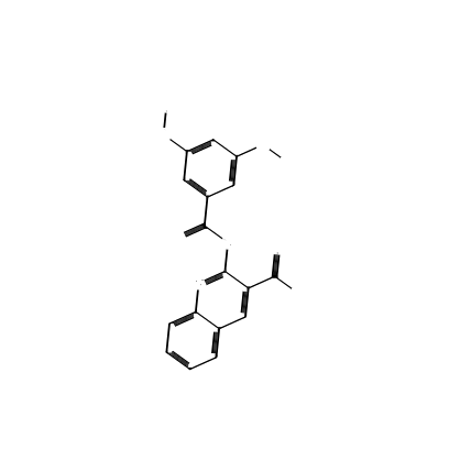 COc1cc(OC)cc(C(=O)Nc2nc3ccccc3cc2C(=O)O)c1